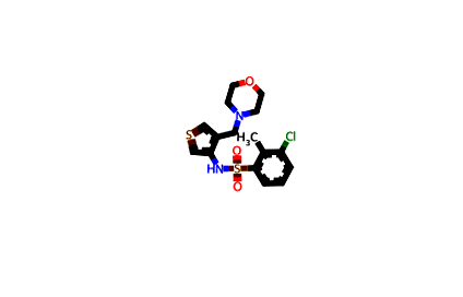 Cc1c(Cl)cccc1S(=O)(=O)Nc1cscc1CN1CCOCC1